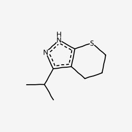 CC(C)c1n[nH]c2c1CCCS2